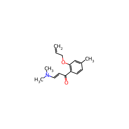 C=CCOc1cc(C)ccc1C(=O)C=CN(C)C